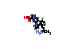 C[C@@H](N)CCc1ncc(F)cc1C1CCCN1c1ccc2ncc(C(=O)O)n2n1